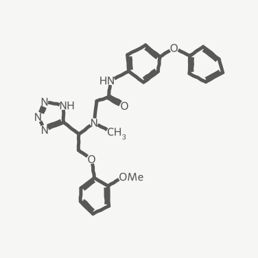 COc1ccccc1OCC(c1nnn[nH]1)N(C)CC(=O)Nc1ccc(Oc2ccccc2)cc1